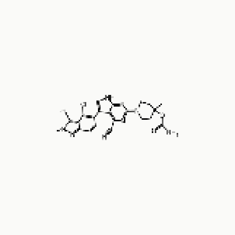 Cn1nc2ccc(-c3c[nH]c4nc(N5CCC(C)(OC(N)=O)CC5)nc(C#N)c34)c(Cl)c2c1Cl